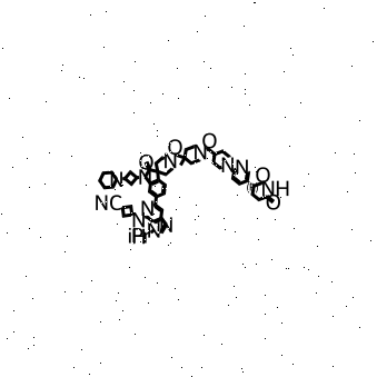 CC(C)n1cnc2cc(-c3ccc4c(c3)N(C3CC(N5CCCCC5)C3)C(=O)C43CCN(C(=O)C4(C)CCN(C(=O)C5CCN(c6ccc([C@H]7CCC(=O)NC7=O)cn6)CC5)CC4)CC3)nc(NC3CC(C#N)C3)c21